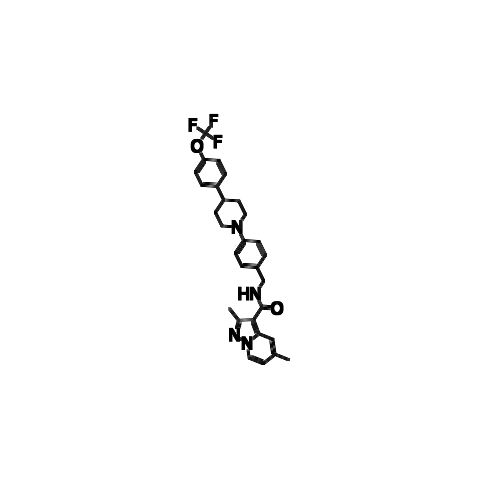 Cc1ccn2nc(C)c(C(=O)NCc3ccc(N4CCC(c5ccc(OC(F)(F)F)cc5)CC4)cc3)c2c1